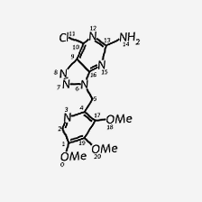 COc1cnc(Cn2nnc3c(Cl)nc(N)nc32)c(OC)c1OC